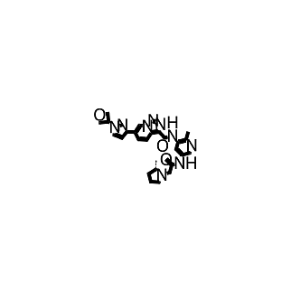 Cc1ncc(NC(=O)CN2CCC[C@@H]2C)cc1NC(=O)c1nnn2cc(-c3ccn(C4COC4)n3)ccc12